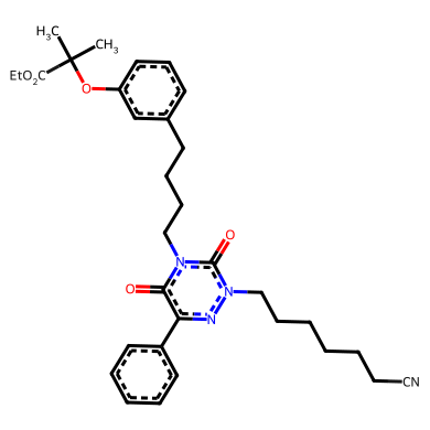 CCOC(=O)C(C)(C)Oc1cccc(CCCCn2c(=O)c(-c3ccccc3)nn(CCCCCCC#N)c2=O)c1